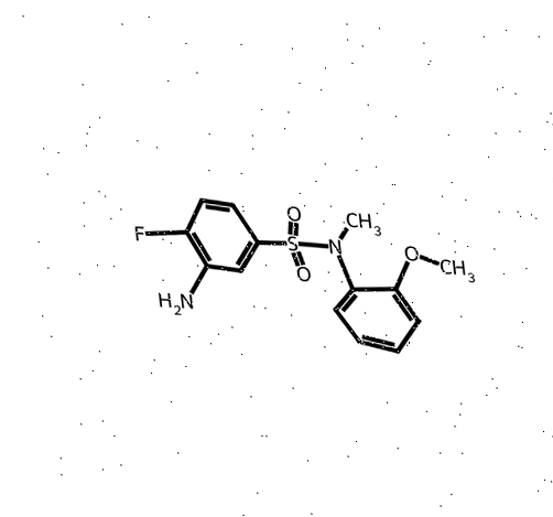 COc1ccccc1N(C)S(=O)(=O)c1ccc(F)c(N)c1